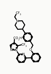 O=C(O)c1cnn(-c2cccc(-c3ccccc3OCc3ccc(C4CCN(CC(F)(F)F)CC4)cc3)n2)c1C(F)(F)F